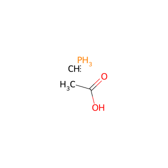 CC(=O)O.P.[CH]